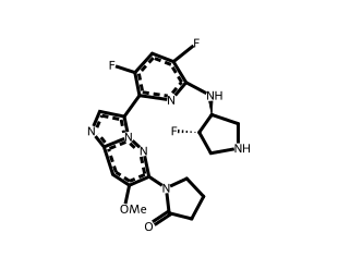 COc1cc2ncc(-c3nc(N[C@H]4CNC[C@@H]4F)c(F)cc3F)n2nc1N1CCCC1=O